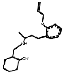 C=CCOc1ccccc1CCC(C)NCC1CCCCC1O